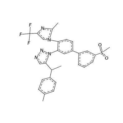 Cc1ccc(C(C)c2cnnn2-c2cc(-c3cccc(S(C)(=O)=O)c3)ccc2-n2cc(C(F)(F)F)nc2C)cc1